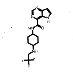 O=C(NC1CCC(NCC(F)(F)F)CC1)c1ncnc2cc[nH]c12